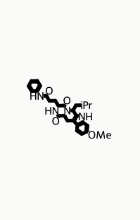 COc1ccc2c3c([nH]c2c1)C(CC(C)C)N1C(=O)C(CCC(=O)Nc2ccccc2)NC(=O)C1C3